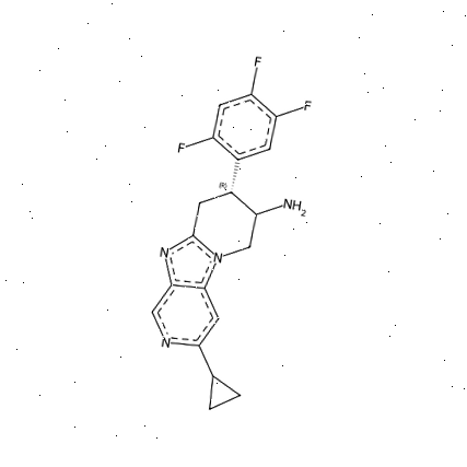 NC1Cn2c(nc3cnc(C4CC4)cc32)C[C@@H]1c1cc(F)c(F)cc1F